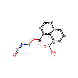 O=C=NCOC(=O)c1cccc2cccc(C(=O)O)c12